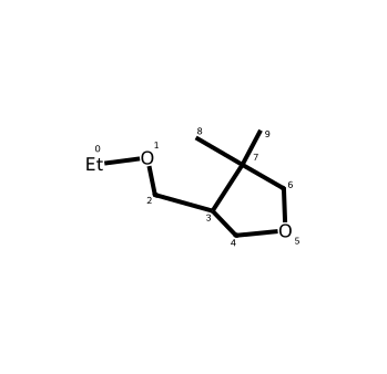 CCOCC1COCC1(C)C